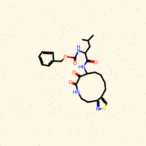 CC(C)CC(NC(=O)OCc1ccccc1)C(=O)NC1CCCCc2csnc2CCNC(=O)C1=O